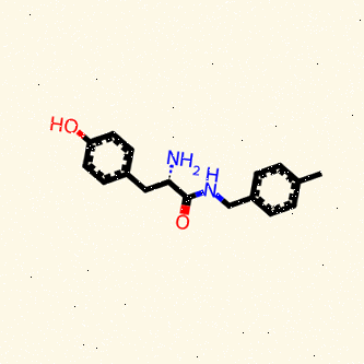 Cc1ccc(CNC(=O)[C@@H](N)Cc2ccc(O)cc2)cc1